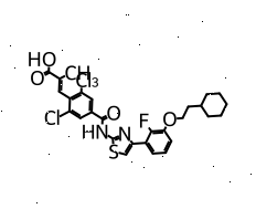 CC(=Cc1c(Cl)cc(C(=O)Nc2nc(-c3cccc(OCCC4CCCCC4)c3F)cs2)cc1Cl)C(=O)O